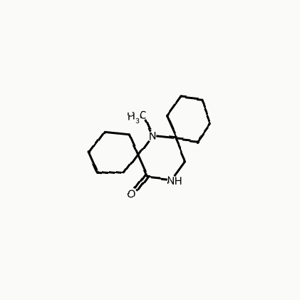 CN1C2(CCCCC2)CNC(=O)C12CCCCC2